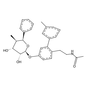 CC(=O)NCCc1ccc(O[C@@H]2O[C@H](c3ccccc3)[C@H](C)[C@@H](O)[C@H]2O)cc1-c1cccc(C)c1